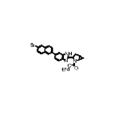 CC(C)(C)OC(=O)N1C(c2nc3ccc(-c4ccc5cc(Br)ccc5c4)cc3[nH]2)CC2CC21